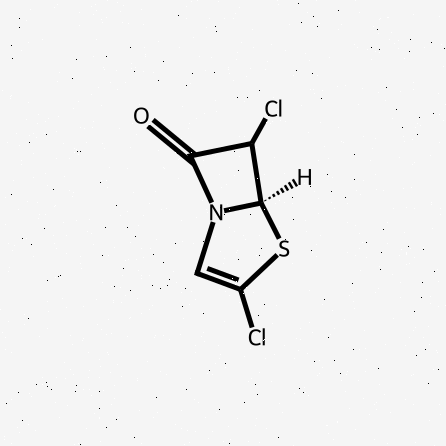 O=C1C(Cl)[C@H]2SC(Cl)=CN12